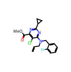 C=CCN(Cc1ccccc1F)c1nc(C2CC2)nc(C(=O)OC)c1Cl